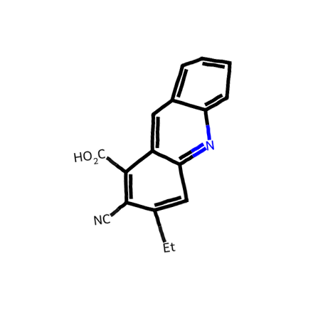 CCc1cc2nc3ccccc3cc2c(C(=O)O)c1C#N